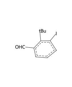 CC(C)(C)c1c(I)cccc1C=O